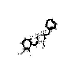 CCC1(Cc2ccccc2)CN(C)C(=Cc2c([N+](=O)[O-])ccc(F)c2F)CN1